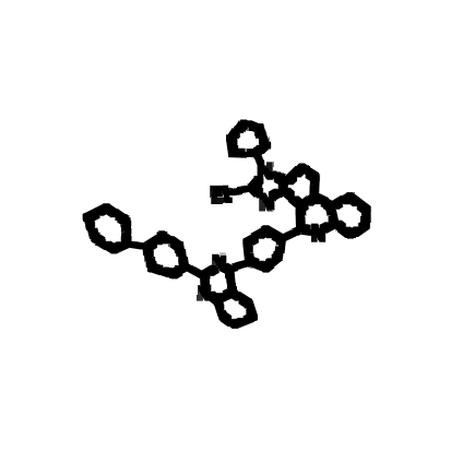 CCc1nc2c3c(-c4ccc(-c5nc(-c6ccc(-c7ccccc7)cc6)nc6ccccc56)cc4)nc4ccccc4c3ccc2n1-c1ccccc1